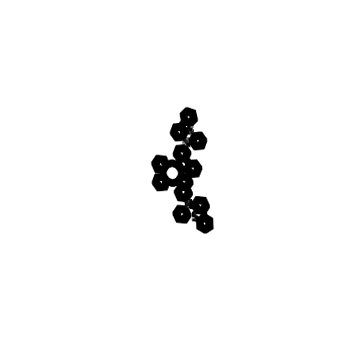 c1ccc(N(c2ccc3c4c(ccc3c2)-c2c(c3ccc(N(c5ccccc5)c5cccc6c5sc5ccccc56)cc3c3ccccc23)Cc2ccccc2-c2ccccc2C4)c2cccc3c2sc2ccccc23)cc1